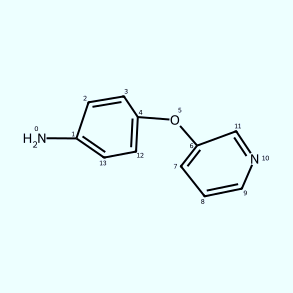 Nc1ccc(Oc2cccnc2)cc1